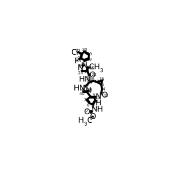 COC(=O)Nc1ccc2c(c1)NC(=O)CC1CC1C[C@H](NC(=O)c1cnn(-c3cccc(Cl)c3F)c1C)c1nc-2c[nH]1